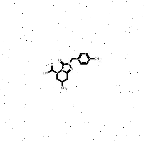 Cc1ccc(Cn2nc3n(c2=O)C(C(=O)O)CC(C)C3)cc1